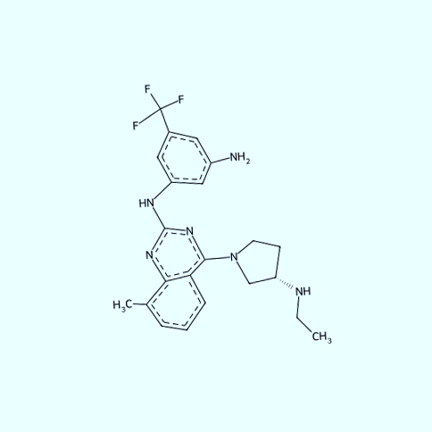 CCN[C@H]1CCN(c2nc(Nc3cc(N)cc(C(F)(F)F)c3)nc3c(C)cccc23)C1